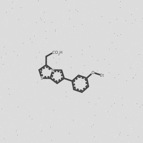 CCOc1cccc(-c2cc3scc(CC(=O)O)n3c2)c1